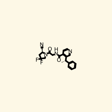 C[C@@H](c1ccccc1)c1cnccc1C(=O)NCC(=O)N1CC(F)(F)C[C@H]1C#N